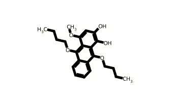 CCCCOc1c2ccccc2c(OCCCC)c2c(O)c(O)cc(OC)c12